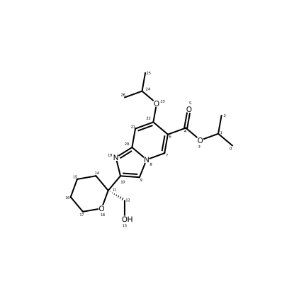 CC(C)OC(=O)c1cn2cc([C@]3(CO)CCCCO3)nc2cc1OC(C)C